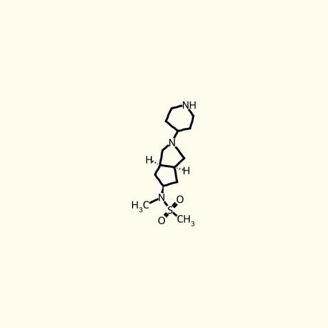 CN([C@@H]1C[C@@H]2CN(C3CCNCC3)C[C@@H]2C1)S(C)(=O)=O